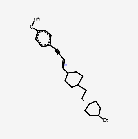 CCCOc1ccc(C#C/C=C/C2CCC(CC[C@H]3CC[C@H](CC)CC3)CC2)cc1